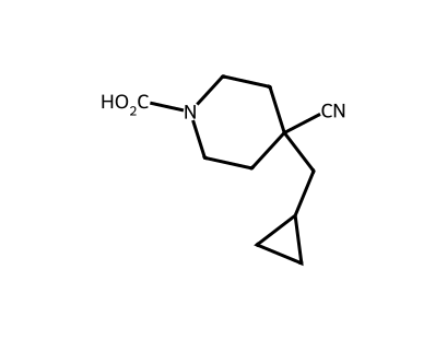 N#CC1(CC2CC2)CCN(C(=O)O)CC1